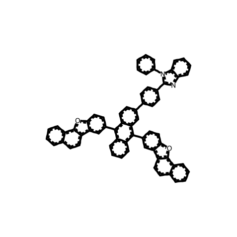 c1ccc(-n2c(-c3ccc(-c4ccc5c(-c6ccc7oc8c9ccccc9ccc8c7c6)c6ccccc6c(-c6ccc7oc8c9ccccc9ccc8c7c6)c5c4)cc3)nc3ccccc32)cc1